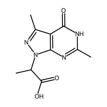 Cc1nc2c(c(C)nn2C(C)C(=O)O)c(=O)[nH]1